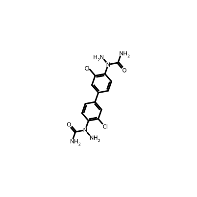 NC(=O)N(N)c1ccc(-c2ccc(N(N)C(N)=O)c(Cl)c2)cc1Cl